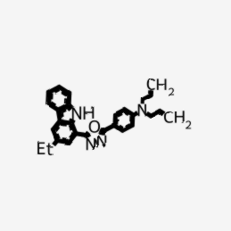 C=CCN(CC=C)c1ccc(-c2nnc(-c3cc(CC)cc4c3[nH]c3ccccc34)o2)cc1